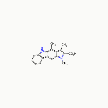 Cc1c(C(=O)O)n(C)c2cc3c([nH]c4ccccc43)c(C)c12